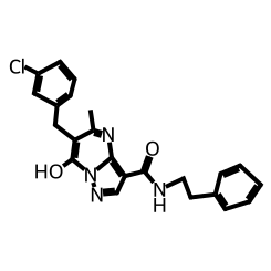 Cc1nc2c(C(=O)NCCc3ccccc3)cnn2c(O)c1Cc1cccc(Cl)c1